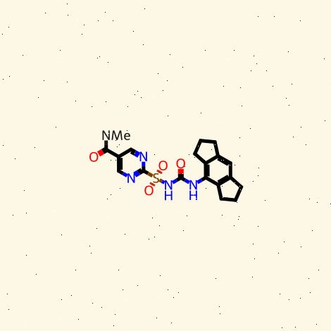 CNC(=O)c1cnc(S(=O)(=O)NC(=O)Nc2c3c(cc4c2CCC4)CCC3)nc1